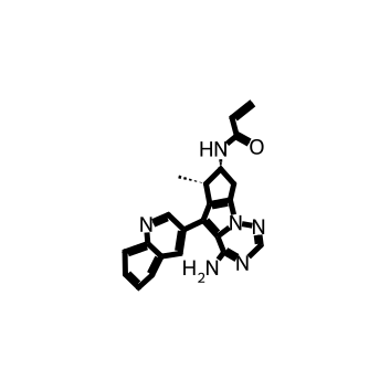 C=CC(=O)N[C@@H]1Cc2c(c(-c3cnc4ccccc4c3)c3c(N)ncnn23)[C@@H]1C